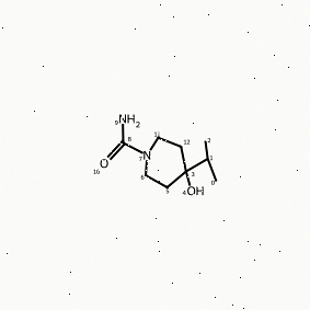 CC(C)C1(O)CCN(C(N)=O)CC1